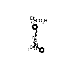 CCC(Oc1ccc(CCC=NOCc2nc(-c3ccccc3)oc2C)cc1)C(=O)O